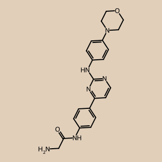 NCC(=O)Nc1ccc(-c2ccnc(Nc3ccc(N4CCOCC4)cc3)n2)cc1